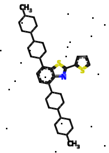 CC1CCC(C2CCC(c3ccc(C4CCC(C5CCC(C)CC5)CC4)c4sc(-c5cccs5)nc34)CC2)CC1